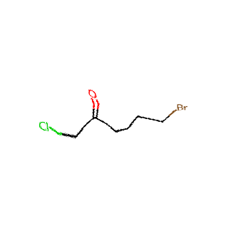 O=C(CCl)CCCBr